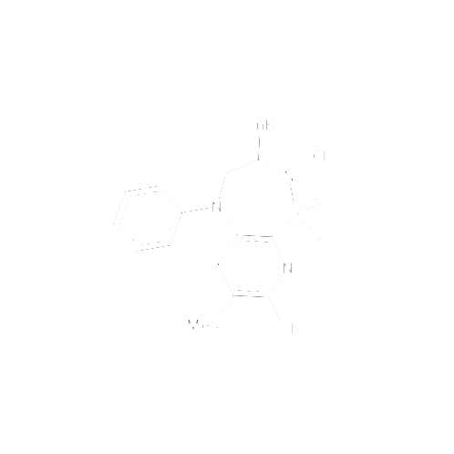 CCCCC1CN(c2ccccc2)c2cc(SC)c(O)nc2S(=O)(=O)N1C